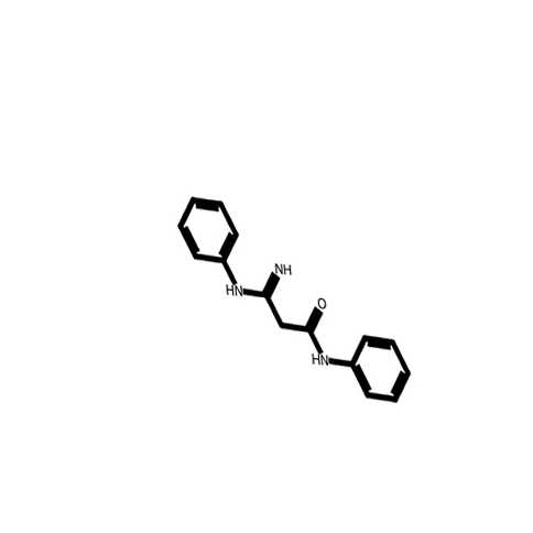 N=C(CC(=O)Nc1ccccc1)Nc1ccccc1